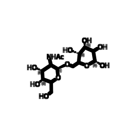 CC(=O)NC1[C@@H](OCC2O[C@@H](O)C(O)[C@@H](O)[C@H]2O)OC(CO)[C@H](O)[C@@H]1O